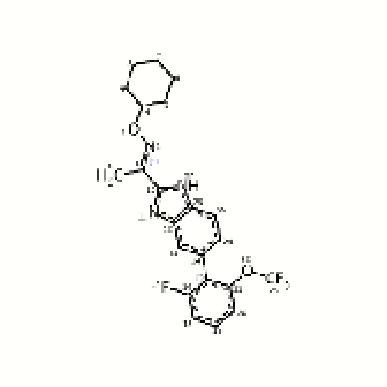 C/C(=N\OC1CCCCC1)c1nc2cc(-c3c(F)cccc3OC(F)(F)F)ccc2[nH]1